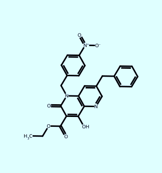 CCOC(=O)c1c(O)c2ncc(Cc3ccccc3)cc2n(Cc2ccc([N+](=O)[O-])cc2)c1=O